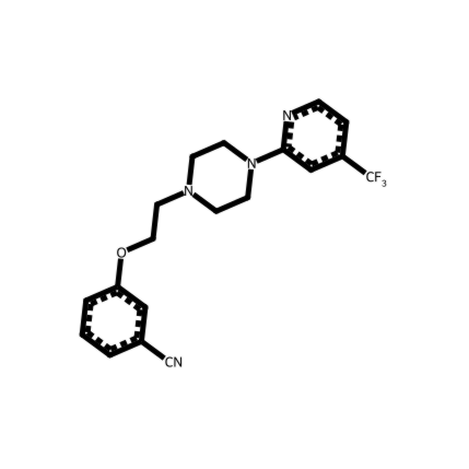 N#Cc1cccc(OCCN2CCN(c3cc(C(F)(F)F)ccn3)CC2)c1